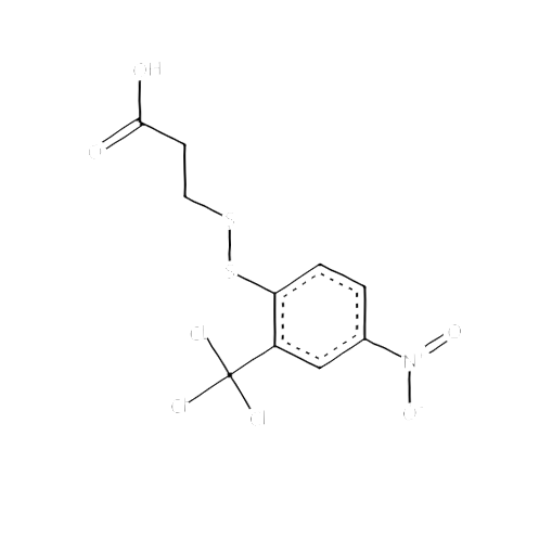 O=C(O)CCSSc1ccc([N+](=O)[O-])cc1C(Cl)(Cl)Cl